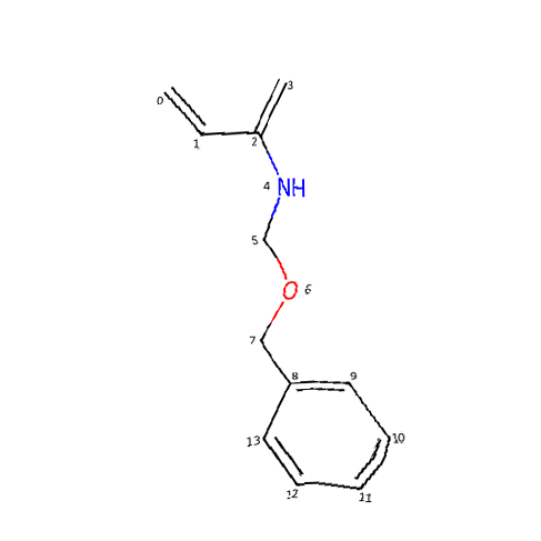 C=CC(=C)NCOCc1ccccc1